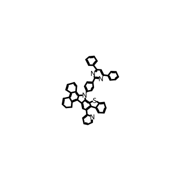 C1=Cc2c(c3c4cc(-c5ccccn5)c5c6ccccc6sc5c4n(-c4ccc(-c5nc(-c6ccccc6)cc(-c6ccccc6)n5)cc4)c3c3ccccc23)CC1